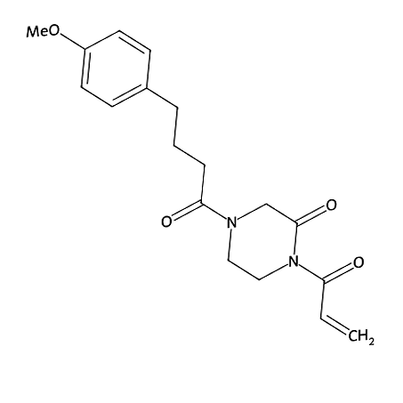 C=CC(=O)N1CCN(C(=O)CCCc2ccc(OC)cc2)CC1=O